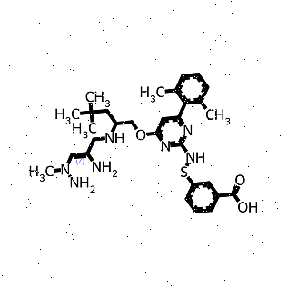 Cc1cccc(C)c1-c1cc(OCC(CC(C)(C)C)NC/C(N)=C/N(C)N)nc(NSc2cccc(C(=O)O)c2)n1